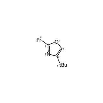 CC(C)c1nc(C(C)(C)C)co1